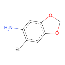 C[CH]c1cc2c(cc1N)OCO2